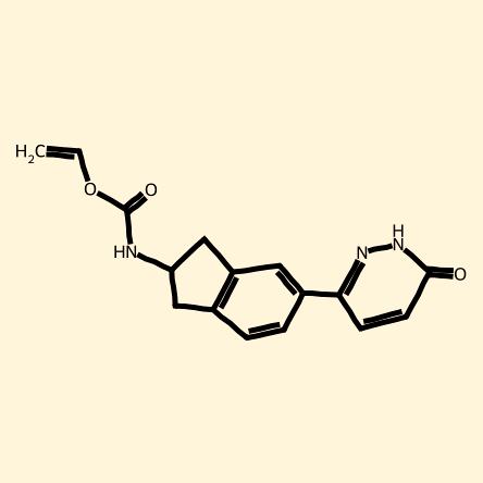 C=COC(=O)NC1Cc2ccc(-c3ccc(=O)[nH]n3)cc2C1